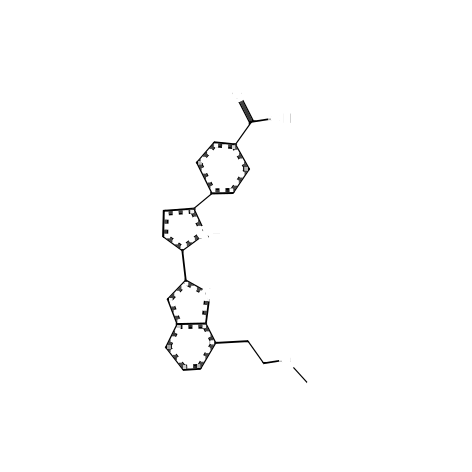 COCCc1cccc2cc(-c3ccc(-c4ccc(C(=O)O)cc4)[nH]3)oc12